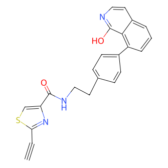 C#Cc1nc(C(=O)NCCc2ccc(-c3cccc4ccnc(O)c34)cc2)cs1